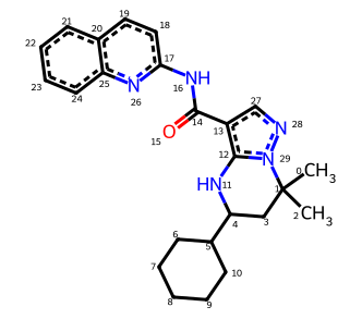 CC1(C)CC(C2CCCCC2)Nc2c(C(=O)Nc3ccc4ccccc4n3)cnn21